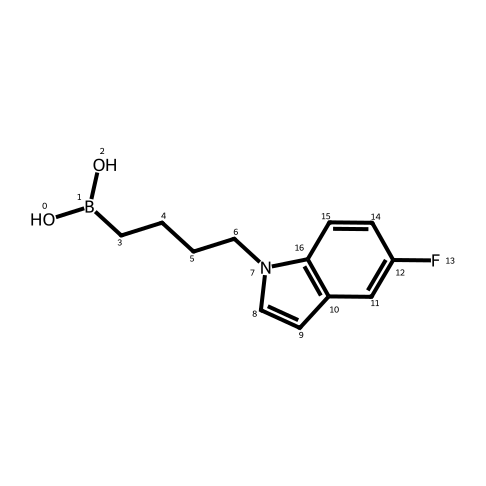 OB(O)CCCCn1ccc2cc(F)ccc21